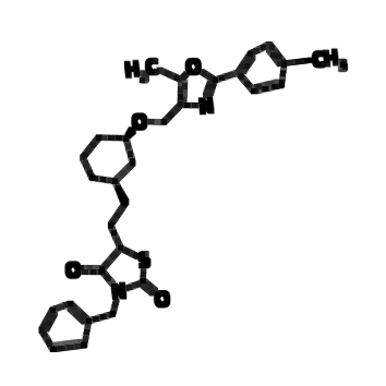 Cc1ccc(-c2nc(CO[C@@H]3CCC[C@H](CCC4SC(=O)N(Cc5ccccc5)C4=O)C3)c(C)o2)cc1